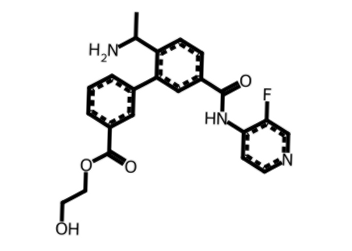 CC(N)c1ccc(C(=O)Nc2ccncc2F)cc1-c1cccc(C(=O)OCCO)c1